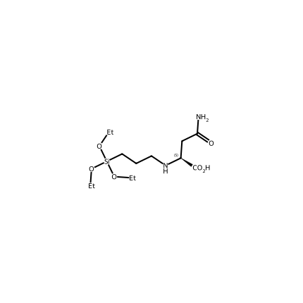 CCO[Si](CCCN[C@@H](CC(N)=O)C(=O)O)(OCC)OCC